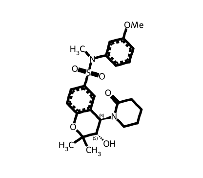 COc1cccc(N(C)S(=O)(=O)c2ccc3c(c2)[C@@H](N2CCCCC2=O)[C@H](O)C(C)(C)O3)c1